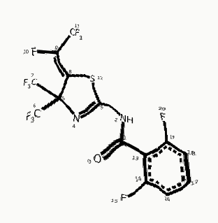 O=C(NC1=NC(C(F)(F)F)(C(F)(F)F)C(=C(F)C(F)(F)F)S1)c1c(F)cccc1F